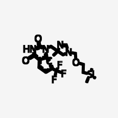 CC1(Cn2c(=O)[nH]c(=O)c3ccc(C(F)(F)F)cc32)CN(COCC[Si](C)(C)C)C=N1